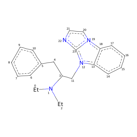 CCN(CC)C(Cc1ccccc1)Cn1c2ccccc2n2ccnc12